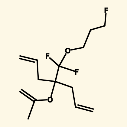 C=CCC(CC=C)(OC(=C)C)C(F)(F)OCCCF